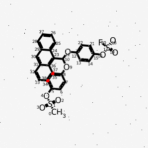 CS(=O)(=O)Oc1ccc(OC(Oc2ccc(OS(=O)(=O)F)cc2)c2c3ccccc3cc3ccccc23)cc1